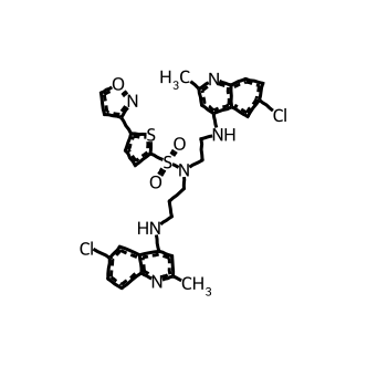 Cc1cc(NCCCN(CCNc2cc(C)nc3ccc(Cl)cc23)S(=O)(=O)c2ccc(-c3ccon3)s2)c2cc(Cl)ccc2n1